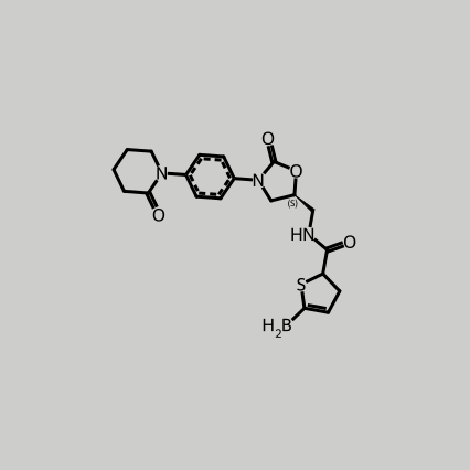 BC1=CCC(C(=O)NC[C@H]2CN(c3ccc(N4CCCCC4=O)cc3)C(=O)O2)S1